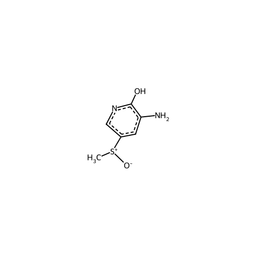 C[S+]([O-])c1cnc(O)c(N)c1